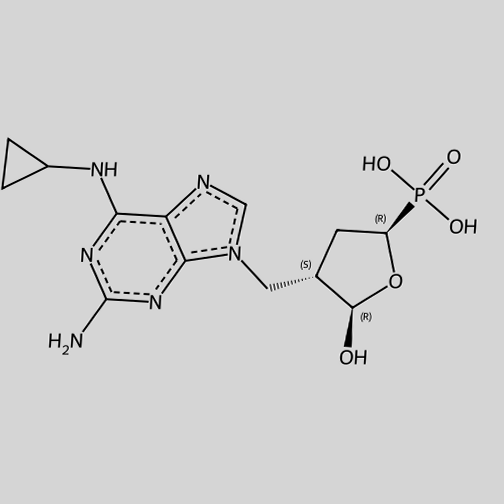 Nc1nc(NC2CC2)c2ncn(C[C@@H]3C[C@@H](P(=O)(O)O)O[C@H]3O)c2n1